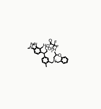 Cc1ccc(C(CC(=O)O)c2ccc3c(nnn3C)c2C)cc1CN1Cc2ccccc2OC(C)C1.O=C(O)C(F)(F)F